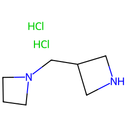 C1CN(CC2CNC2)C1.Cl.Cl